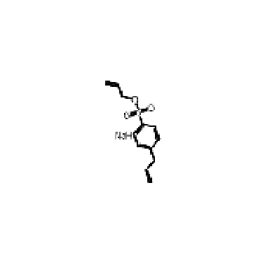 C=CCOS(=O)(=O)c1ccc(CC=C)cc1.[NaH]